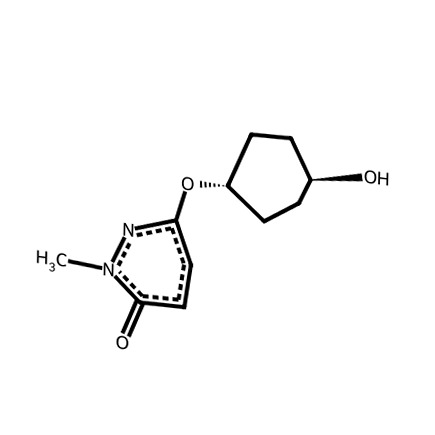 Cn1nc(O[C@H]2CC[C@H](O)CC2)ccc1=O